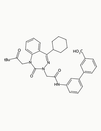 CC(C)(C)C(=O)CN1C(=O)N(CC(=O)Nc2cccc(-c3cccc(C(=O)O)c3)c2)N=C(C2CCCCC2)c2ccccc21